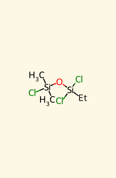 CC[Si](Cl)(Cl)O[Si](C)(C)Cl